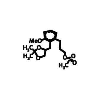 COc1cccc(CCCOS(C)(=O)=O)c1CC1COC(C)(C)O1